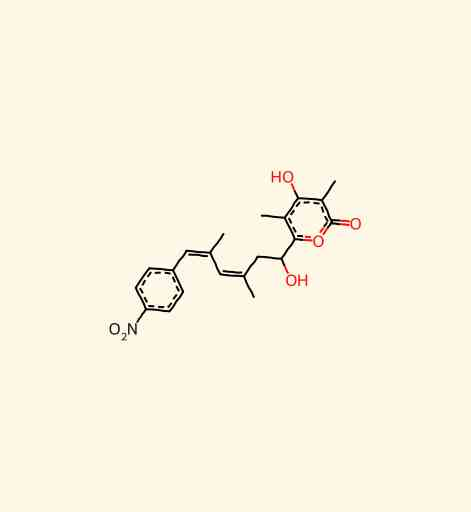 CC(=Cc1ccc([N+](=O)[O-])cc1)C=C(C)CC(O)c1oc(=O)c(C)c(O)c1C